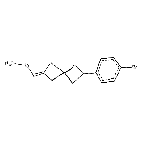 COC=C1CC2(C1)CC(c1ccc(Br)cc1)C2